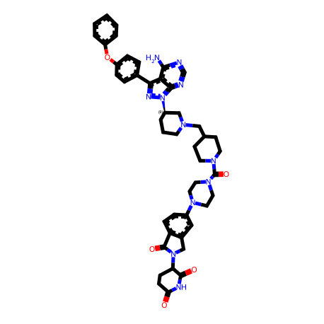 Nc1ncnc2c1c(-c1ccc(Oc3ccccc3)cc1)nn2[C@@H]1CCCN(CC2CCN(C(=O)N3CCN(c4ccc5c(c4)CN(C4CCC(=O)NC4=O)C5=O)CC3)CC2)C1